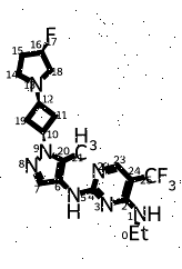 CCNc1nc(Nc2cnn([C@H]3C[C@H](N4CC[C@@H](F)C4)C3)c2C)ncc1C(F)(F)F